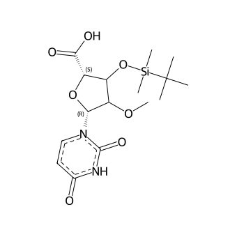 COC1C(O[Si](C)(C)C(C)(C)C)[C@@H](C(=O)O)O[C@H]1n1ccc(=O)[nH]c1=O